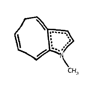 Cn1ccc2c1=CC=CCC=2